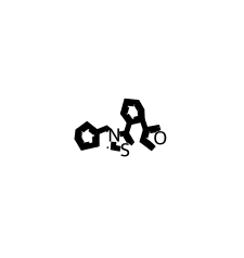 [CH]1SC=C(c2ccccc2-c2ccoc2)N1Cc1ccccc1